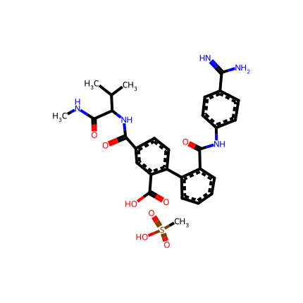 CNC(=O)C(NC(=O)c1ccc(-c2ccccc2C(=O)Nc2ccc(C(=N)N)cc2)c(C(=O)O)c1)C(C)C.CS(=O)(=O)O